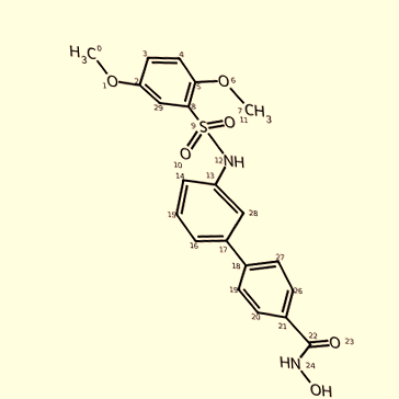 COc1ccc(OC)c(S(=O)(=O)Nc2cccc(-c3ccc(C(=O)NO)cc3)c2)c1